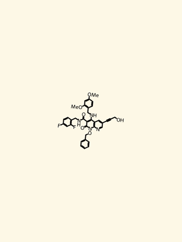 COc1ccc(CNc2c(C(=O)NCc3ccc(F)cc3F)c(=O)n(OCc3ccccc3)c3ncc(C#CCO)cc23)c(OC)c1